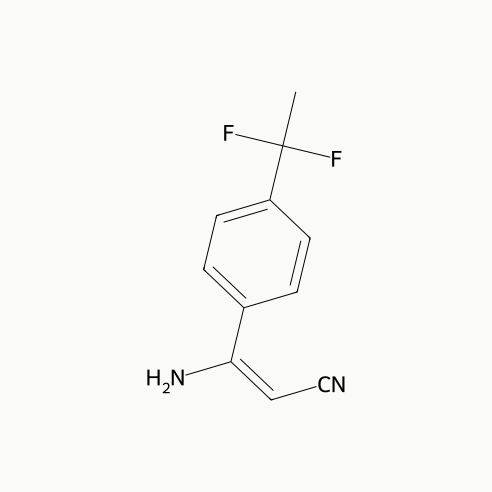 CC(F)(F)c1ccc(/C(N)=C\C#N)cc1